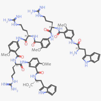 COc1ccc(NC(=O)[C@@H](CCCNC(=N)N)NC(=O)c2cc(NC(=O)[C@@H](CCCNC(=N)N)NC(=O)c3cc(NC(=O)[C@@H](CCCNC(=N)N)NC(=O)c4cc(NC(=O)[C@H](N)Cc5c[nH]c6ccccc56)ccc4OC)ccc3OC)ccc2OC)cc1C(=O)N[C@H](Cc1c[nH]c2ccccc12)C(=O)O